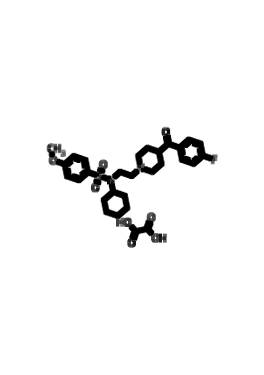 COc1ccc(S(=O)(=O)N(CCN2CCC(C(=O)c3ccc(F)cc3)CC2)C2CCCCC2)cc1.O=C(O)C(=O)O